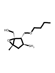 CCCCOC[C@@H]1[C@@H]([SiH3])C[C@]2(C)O[C@@]12CO